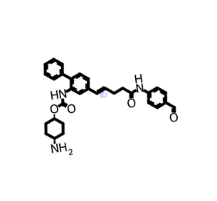 N[C@H]1CC[C@H](OC(=O)Nc2cc(/C=C/CCC(=O)Nc3ccc(C=O)cc3)ccc2-c2ccccc2)CC1